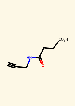 C#CCNC(=O)CCC(=O)O